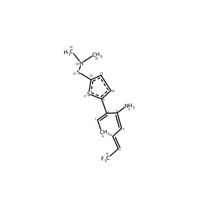 C\C=C(/C(N)=C\C=C\C(F)(F)F)c1ccc(SN(C)C)s1